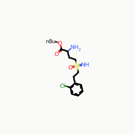 CCCCOC(=O)[C@@H](N)CCS(=N)(=O)CCc1ccccc1Cl